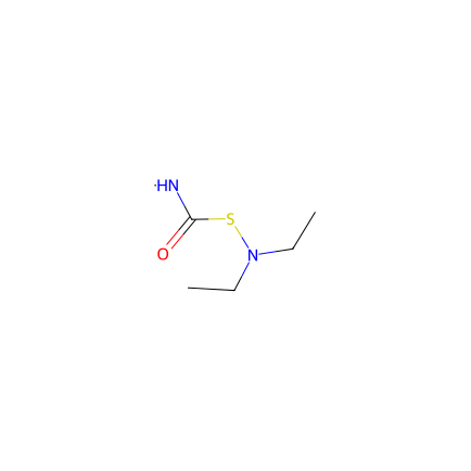 CCN(CC)SC([NH])=O